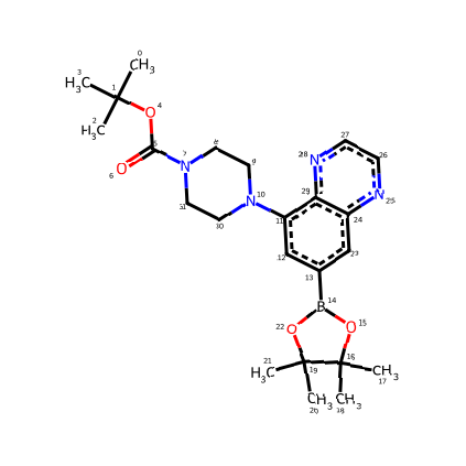 CC(C)(C)OC(=O)N1CCN(c2cc(B3OC(C)(C)C(C)(C)O3)cc3nccnc23)CC1